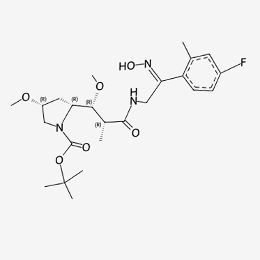 CO[C@@H]1C[C@H]([C@H](OC)[C@@H](C)C(=O)NCC(=NO)c2ccc(F)cc2C)N(C(=O)OC(C)(C)C)C1